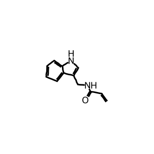 C=CC(=O)NCc1c[nH]c2ccccc12